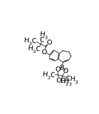 CC(C)(C)C(=O)Oc1ccc2c(c1)CCCC=C2B1OC(C)(C)C(C)(C)O1